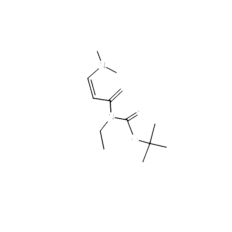 C=C(/C=C\N(C)C)N(CC)C(=O)OC(C)(C)C